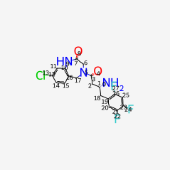 N[C@@H](CC(=O)N1CC(=O)Nc2cc(Cl)ccc2C1)Cc1cc(F)c(F)cc1F